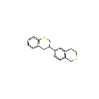 c1ccc2c(c1)CC(c1ccc3c(c1)CCSC3)CS2